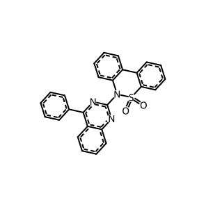 O=S1(=O)c2ccccc2-c2ccccc2N1c1nc(-c2ccccc2)c2ccccc2n1